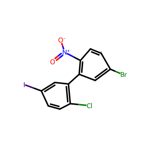 O=[N+]([O-])c1c[c]c(Br)cc1-c1cc(I)ccc1Cl